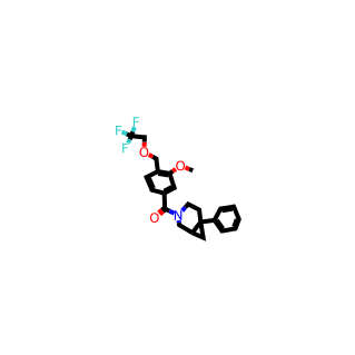 COc1cc(C(=O)N2CCC3(c4ccccc4)CC3C2)ccc1COCC(F)(F)F